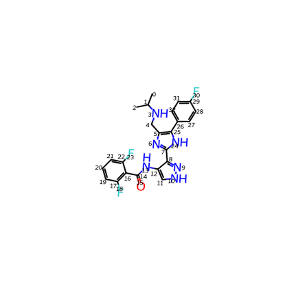 CC(C)NCc1nc(-c2n[nH]cc2NC(=O)c2c(F)cccc2F)[nH]c1-c1ccc(F)cc1